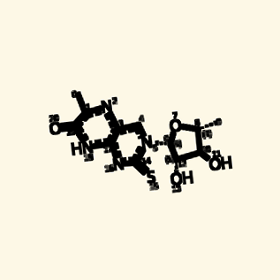 Cc1nc2cn([C@@H]3O[C@H](C)C(O)[C@@H]3O)c(=S)nc2[nH]c1=O